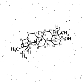 CC1(C)CC[C@]23CC[C@]4(C)C(CC[C@@H]5[C@@]6(C)CC[C@H](O)C(C)(C)[C@@H]6CC[C@]54C)C2[C@H]1OC3